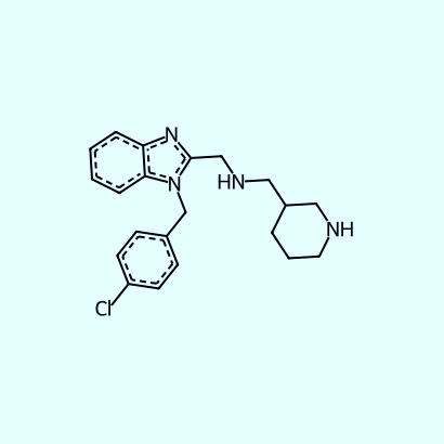 Clc1ccc(Cn2c(CNCC3CCCNC3)nc3ccccc32)cc1